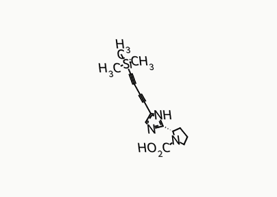 C[Si](C)(C)C#CC#Cc1cnc([C@@H]2CCCN2C(=O)O)[nH]1